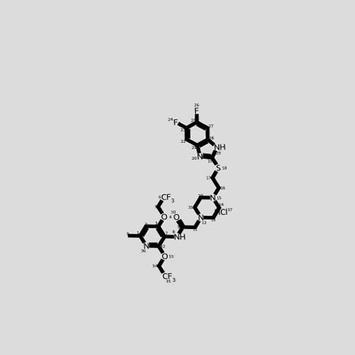 Cc1cc(OCC(F)(F)F)c(NC(=O)CN2CCN(CCSc3nc4cc(F)c(F)cc4[nH]3)CC2)c(OCC(F)(F)F)n1.Cl